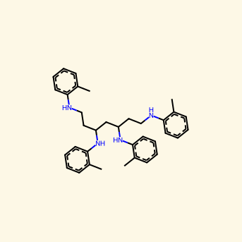 Cc1ccccc1NCCC(CC(CCNc1ccccc1C)Nc1ccccc1C)Nc1ccccc1C